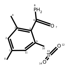 Cc1cc(C)c(C(=O)P)c(C)c1.[O]=[Ti]=[O]